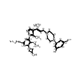 COc1c(N2CC(O)C2)nc(N)nc1-n1ncc(C=CCN2CCN(c3cc(F)cc(F)c3)CC2)c1C.Cl